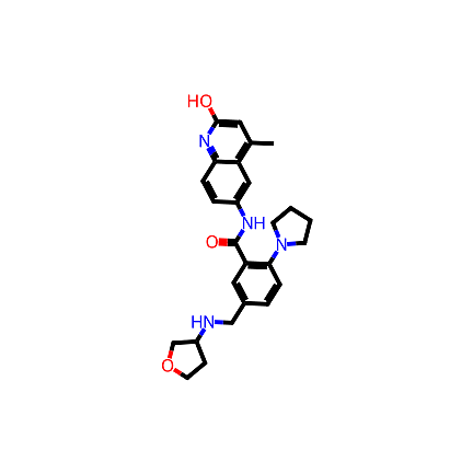 Cc1cc(O)nc2ccc(NC(=O)c3cc(CNC4CCOC4)ccc3N3CCCC3)cc12